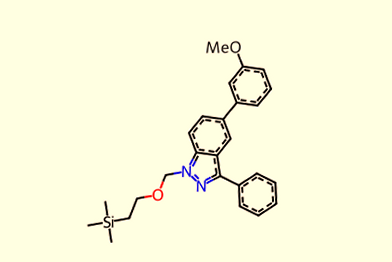 COc1cccc(-c2ccc3c(c2)c(-c2ccccc2)nn3COCC[Si](C)(C)C)c1